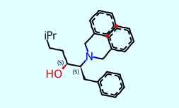 CC(C)CC[C@H](O)[C@H](Cc1ccccc1)N(Cc1ccccc1)Cc1ccccc1